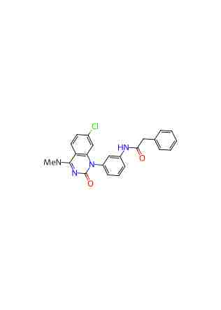 CNc1nc(=O)n(-c2cccc(NC(=O)Cc3ccccc3)c2)c2cc(Cl)ccc12